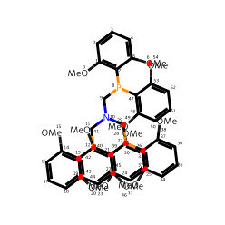 COc1cccc(OC)c1P(CN(CP(c1c(OC)cccc1OC)c1c(OC)cccc1OC)CP(c1c(OC)cccc1OC)c1c(OC)cccc1OC)c1c(OC)cccc1OC